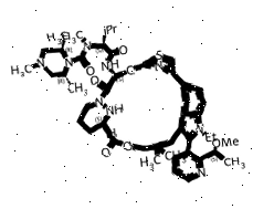 CCn1c(-c2cccnc2[C@H](C)OC)c2c3cc(ccc31)-c1csc(n1)C[C@H](NC(=O)[C@H](C(C)C)N(C)C(=O)N1[C@H](C)CN(C)C[C@H]1C)C(=O)N1CCC[C@H](N1)C(=O)OCC(C)(C)C2